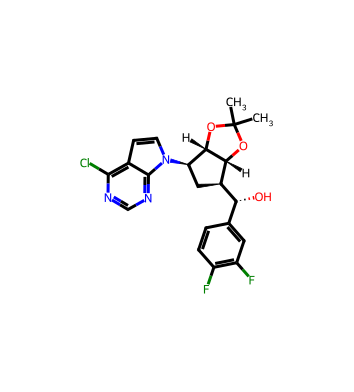 CC1(C)O[C@@H]2[C@@H]([C@H](O)c3ccc(F)c(F)c3)C[C@@H](n3ccc4c(Cl)ncnc43)[C@@H]2O1